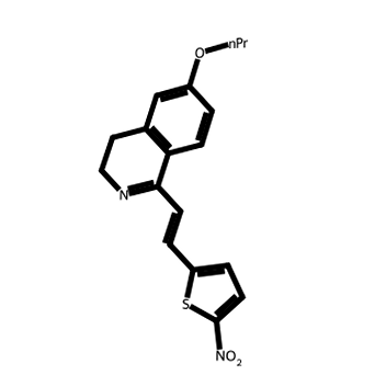 CCCOc1ccc2c(c1)CCN=C2C=Cc1ccc([N+](=O)[O-])s1